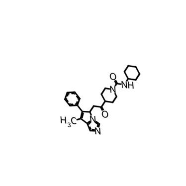 CC1=C(c2ccccc2)C(CC(=O)C2CCN(C(=O)NC3CCCCC3)CC2)n2cncc21